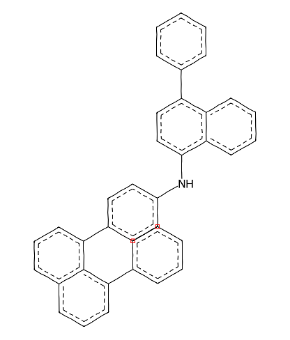 c1ccc(-c2ccc(Nc3ccc(-c4cccc5cccc(-c6ccccc6)c45)cc3)c3ccccc23)cc1